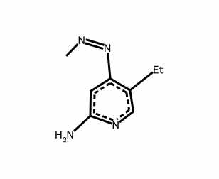 CCc1cnc(N)cc1/N=N\C